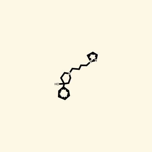 OC1(c2ccccc2)CCN(CCCCn2cccn2)CC1